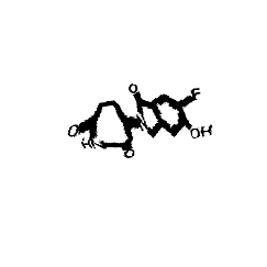 O=C1CCC(N2Cc3cc(O)c(F)cc3C2=O)C(=O)N1